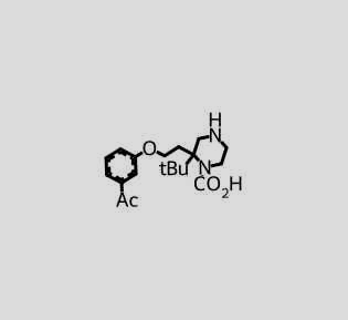 CC(=O)c1cccc(OCCC2(C(C)(C)C)CNCCN2C(=O)O)c1